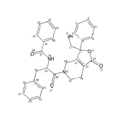 CC(C)CC1(c2ccccc2)OC(=O)C2=C1CN(C(=O)C(Cc1ccccc1)NC(=O)c1ccccc1)CC2